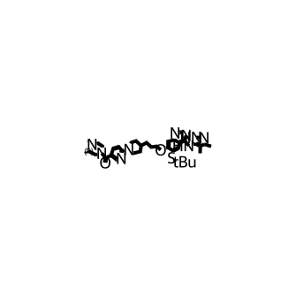 Cc1n[nH]c(Nc2ncnc3cc(OCCCC4CCN(c5ccc(C(=O)N6CCN(C)[C@H](C)C6)cn5)CC4)c(SC(C)(C)C)cc23)c1C